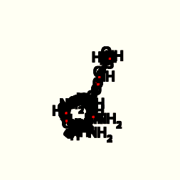 NCCCC[C@@H]1NC(=O)[C@H](CCCCN)NC(=O)[C@@H](NC(=O)COCCOCCOCCNC(=O)CCCCC2SC[C@@H]3NC(=O)N[C@H]23)Cc2cn(nn2)CCCC[C@@H](C(N)=O)NC(=O)[C@@H]2CCCN2C(=O)[C@H](Cc2c[nH]c3ccccc23)NC(=O)CNC1=O